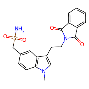 Cn1cc(CCN2C(=O)c3ccccc3C2=O)c2cc(CS(N)(=O)=O)ccc21